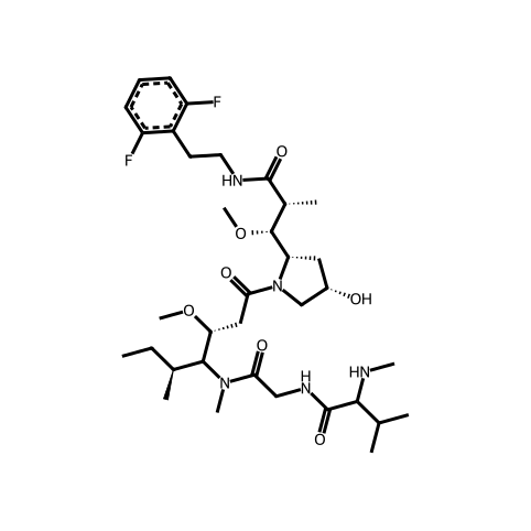 CC[C@H](C)C([C@@H](CC(=O)N1C[C@@H](O)C[C@H]1[C@H](OC)[C@@H](C)C(=O)NCCc1c(F)cccc1F)OC)N(C)C(=O)CNC(=O)C(NC)C(C)C